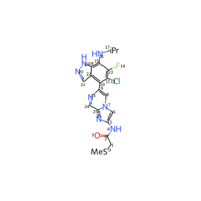 CSCC(=O)Nc1cn2cc(-c3c(Cl)c(F)c(NC(C)C)c4[nH]ncc34)ncc2n1